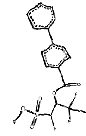 O=C(OC(C(F)S(=O)(=O)OF)C(F)(F)F)c1ccc(-c2ccccc2)cc1